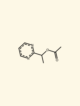 CC(=O)OC(C)c1ncccn1